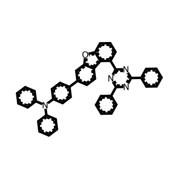 c1ccc(-c2nc(-c3ccccc3)nc(-c3cccc4oc5cc(-c6ccc(N(c7ccccc7)c7ccccc7)cc6)ccc5c34)n2)cc1